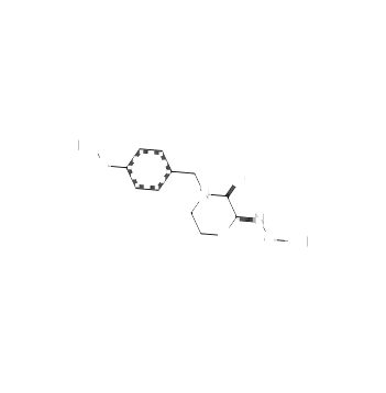 CON=C1SCCN(Cc2ccc(OC)cc2)C1=O